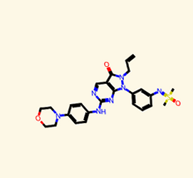 C=CCn1c(=O)c2cnc(Nc3ccc(N4CCOCC4)cc3)nc2n1-c1cccc(N=S(C)(C)=O)c1